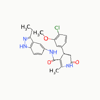 CCc1n[nH]c2ccc(NC(=O)C3=C(C)NC(=O)CC3c3ccc(Cl)c(OC)c3)cc12